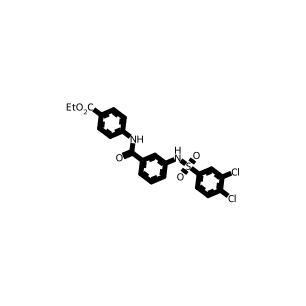 CCOC(=O)c1ccc(NC(=O)c2cccc(NS(=O)(=O)c3ccc(Cl)c(Cl)c3)c2)cc1